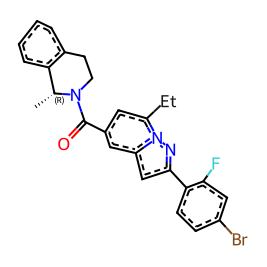 CCc1cc(C(=O)N2CCc3ccccc3[C@H]2C)cc2cc(-c3ccc(Br)cc3F)nn12